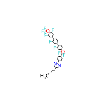 CCCCCc1cnc(-c2ccc(C(F)(F)Oc3ccc(-c4ccc(-c5cc(F)c(OC(F)(F)F)c(F)c5)c(F)c4)c(F)c3)cc2)nc1